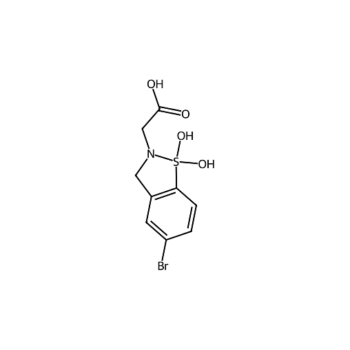 O=C(O)CN1Cc2cc(Br)ccc2S1(O)O